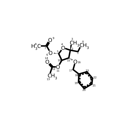 CC[C@@]1(C)O[C@@H](OC(C)=O)C(OC(C)=O)[C@H]1OCc1ccccc1